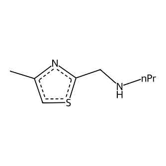 CCCNCc1nc(C)cs1